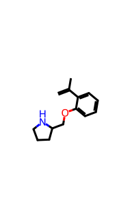 C=C(C)c1ccccc1OCC1CCCN1